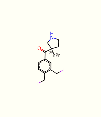 CCC[C@]1(C(=O)c2ccc(CI)c(CI)c2)CCNC1